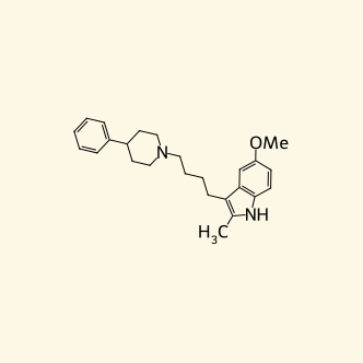 COc1ccc2[nH]c(C)c(CCCCN3CCC(c4ccccc4)CC3)c2c1